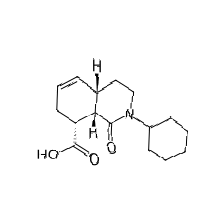 O=C(O)[C@@H]1CC=C[C@@H]2CCN(C3CCCCC3)C(=O)[C@@H]21